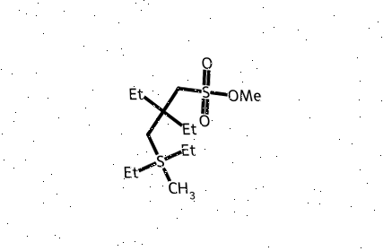 CCC(CC)(CS(C)(CC)CC)CS(=O)(=O)OC